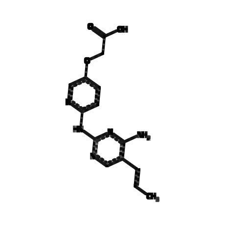 CC=Cc1cnc(Nc2ccc(OCC(=O)O)cn2)nc1N